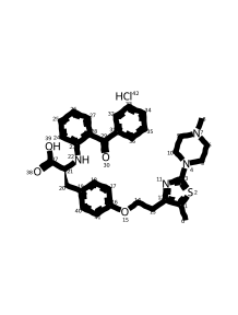 Cc1sc(N2CCN(C)CC2)nc1CCOc1ccc(C[C@H](Nc2ccccc2C(=O)c2ccccc2)C(=O)O)cc1.Cl